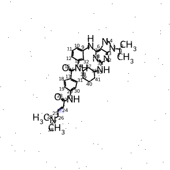 CC(C)n1cnc2c(Nc3cccc(NC(=O)c4ccc(NC(=O)/C=C/CN(C)C)cc4)c3)nc(NC3CCCCC3)nc21